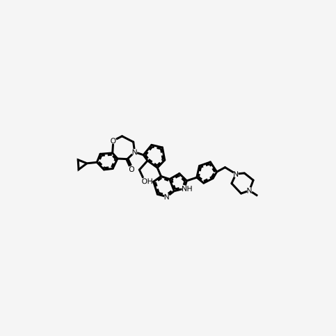 CN1CCN(Cc2ccc(-c3cc4c(-c5cccc(N6CCOc7cc(C8CC8)ccc7C6=O)c5CO)ccnc4[nH]3)cc2)CC1